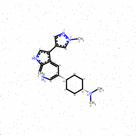 C=c1[nH]cc(-c2cnn(C)c2)/c1=C/C(=C\N)[C@H]1CC[C@@H](N(C)C)CC1